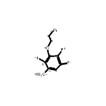 CC(C)CCOc1c(F)c(F)cc(C(=O)O)c1F